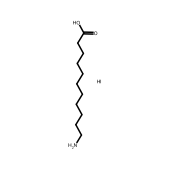 I.NCCCCCCCCCCC(=O)O